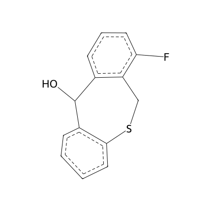 OC1c2ccccc2SCc2c(F)cccc21